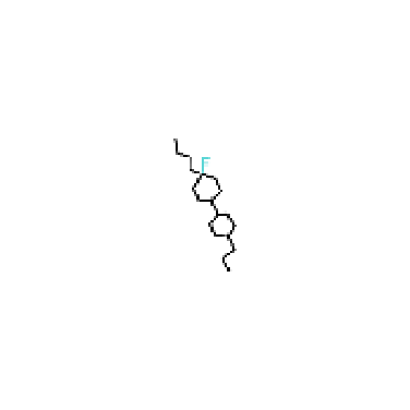 CCCCC1(F)CCC(C2CCC(CCC)CC2)CC1